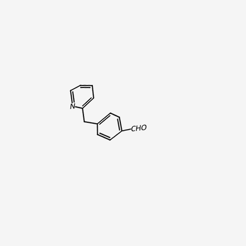 O=Cc1ccc(Cc2ccccn2)cc1